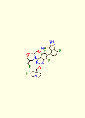 N#Cc1c(N)sc2c(F)ccc(-c3c(Cl)c4c5c(nc(OC[C@@]67CCCN6C[C@H](F)C7)nc5c3F)N3CC(=C(F)F)COCC3CO4)c12